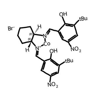 CC(C)(C)c1cc([N+](=O)[O-])cc(C=[N+]2[Co][N+](=Cc3cc([N+](=O)[O-])cc(C(C)(C)C)c3O)[C@@H]3CCCC[C@H]32)c1O.[Br-]